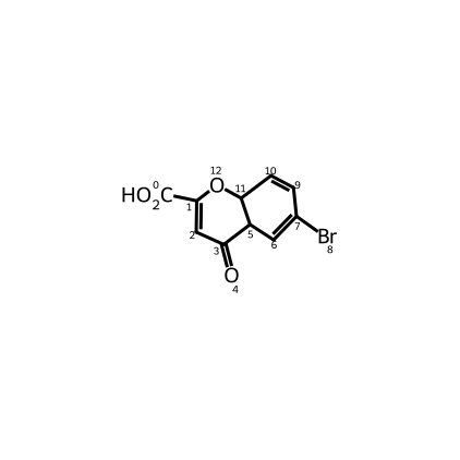 O=C(O)C1=CC(=O)C2C=C(Br)C=CC2O1